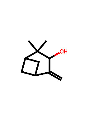 C=C1C2CC(C2)C(C)(C)C1O